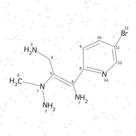 CN(N)/C(CN)=C(\N)c1ccc(Br)cn1